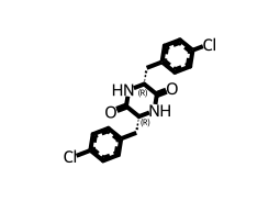 O=C1N[C@H](Cc2ccc(Cl)cc2)C(=O)N[C@@H]1Cc1ccc(Cl)cc1